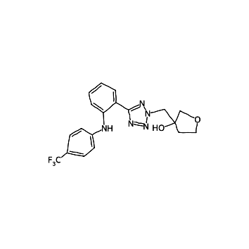 OC1(Cn2nnc(-c3ccccc3Nc3ccc(C(F)(F)F)cc3)n2)CCOC1